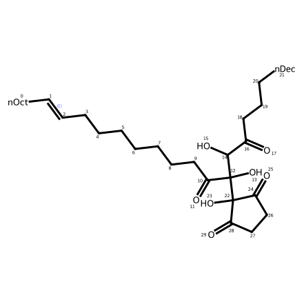 CCCCCCCC/C=C/CCCCCCCC(=O)C(O)(C(O)C(=O)CCCCCCCCCCCCC)C1(O)C(=O)CCC1=O